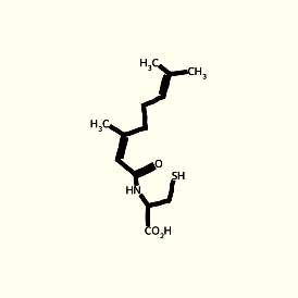 CC(C)=CCCC(C)=CC(=O)NC(CS)C(=O)O